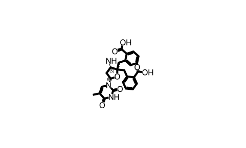 Cc1cn([C@H]2C[C@H](N)C(Cc3ccccc3C(=O)O)(Cc3ccccc3C(=O)O)O2)c(=O)[nH]c1=O